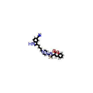 N#Cc1ccc2[nH]cc(CCCCN3CCN(c4nc(-c5cc6ccccc6oc5=O)cs4)CC3)c2c1